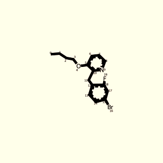 CCCCOc1cccnc1Cc1ccc(Br)cc1F